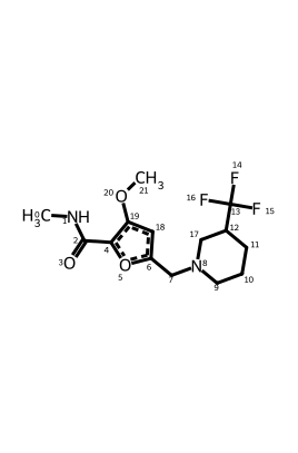 CNC(=O)c1oc(CN2CCCC(C(F)(F)F)C2)cc1OC